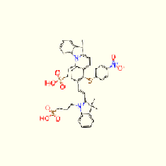 CC1(C)C(/C=C/C2=C(Sc3ccc([N+](=O)[O-])cc3)C(=C/C=C3\N(CCCS(=O)(=O)O)c4ccccc4C3(C)C)/CCC2)=[N+](CCCS(=O)(=O)O)c2ccccc21